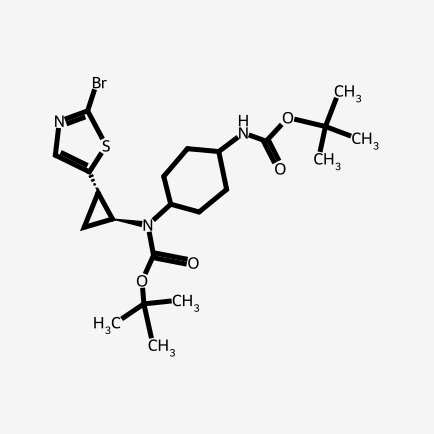 CC(C)(C)OC(=O)NC1CCC(N(C(=O)OC(C)(C)C)[C@H]2C[C@@H]2c2cnc(Br)s2)CC1